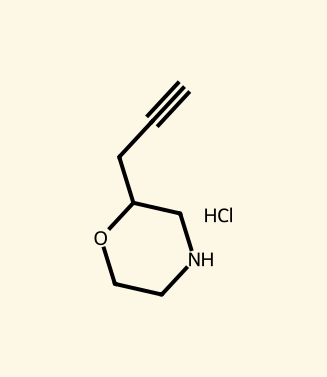 C#CCC1CNCCO1.Cl